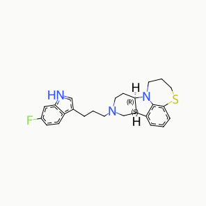 Fc1ccc2c(CCCN3CC[C@@H]4[C@H](C3)c3cccc5c3N4CCCS5)c[nH]c2c1